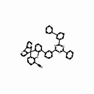 N#Cc1cccc2c1Sc1c(-c3cccc(-c4nc(-c5ccccc5)nc(-c5cccc(-c6ccccc6)c5)n4)c3)cccc1C21c2ccccc2-c2ccccc21